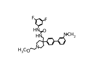 C=Nc1cccc(-c2ccc(C3(CNC(=O)Nc4cc(F)cc(F)c4)CCN(CCOC)CC3)cc2)c1